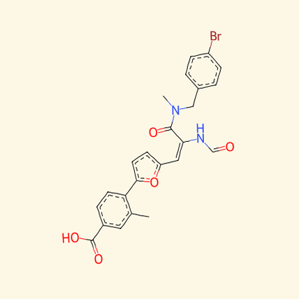 Cc1cc(C(=O)O)ccc1-c1ccc(/C=C(/NC=O)C(=O)N(C)Cc2ccc(Br)cc2)o1